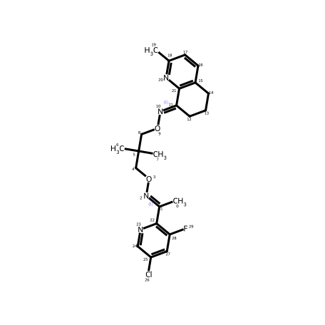 C/C(=N\OCC(C)(C)CO/N=C1\CCCc2ccc(C)nc21)c1ncc(Cl)cc1F